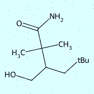 CC(C)(C)CC(CO)C(C)(C)C(N)=O